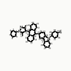 Cc1nn(-c2ccccc2)c(C)c1-c1c2ccccc2c(-c2ccc3c(c2)c2ccccc2n3-c2ccc(F)cc2)c2ccccc12